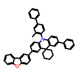 Cc1cc(-c2ccccc2)ccc1N1c2ccc(-c3ccccc3)cc2C2(CCCCC2)c2cc(-c3ccc4oc5ccccc5c4c3)ccc21